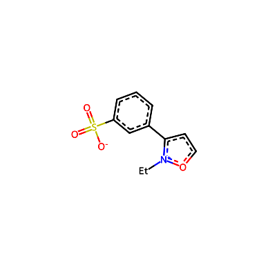 CC[n+]1occc1-c1cccc(S(=O)(=O)[O-])c1